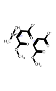 COC(=O)/C=C\C(=O)[O-].COC(=O)/C=C\C(=O)[O-].[CH3][Sn+2][CH3]